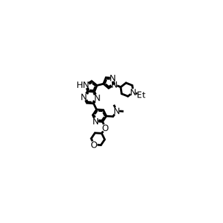 CCN1CCC(n2cc(-c3c[nH]c4ncc(-c5cnc(OC6CCOCC6)c(CN(C)C)c5)nc34)cn2)CC1